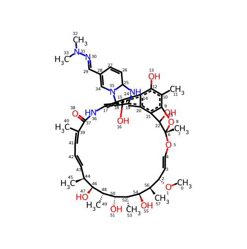 CO[C@H]1/C=C/O[C@@]2(C)Oc3c(C)c(O)c4c(O)c(c5c(c4c3C2O)NC2C=CC(/C=N/N(C)C)=CN52)NC(=O)/C(C)=C\C=C\[C@H](C)[C@H](O)[C@@H](C)[C@@H](O)[C@@H](C)[C@H](O)[C@@H]1C